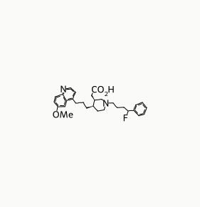 COc1ccc2nccc(CCC[C@@H]3CCN(CCCC(F)c4ccccc4)C[C@@H]3CC(=O)O)c2c1